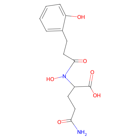 NC(=O)CCC(C(=O)O)N(O)C(=O)CCc1ccccc1O